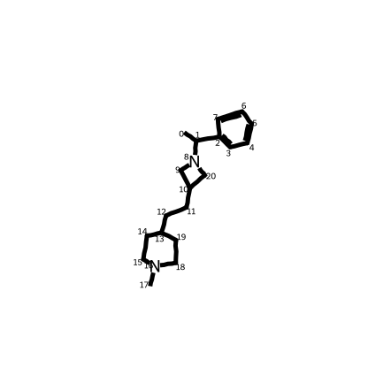 CC(c1ccccc1)N1CC(CCC2CCN(C)CC2)C1